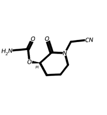 N#CCN1CCC[C@@H](OC(N)=O)C1=O